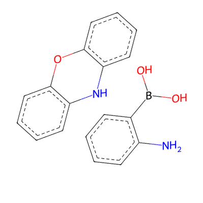 Nc1ccccc1B(O)O.c1ccc2c(c1)Nc1ccccc1O2